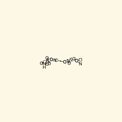 CC1(C)C(Oc2ccc(C#N)c(Cl)c2)C(C)(C)C1N1Cc2cc(C#CC3CCN(c4ccc5c(c4)C(=O)N(C4CCC(=O)NC4=O)C5=O)CC3)ccc2C1=O